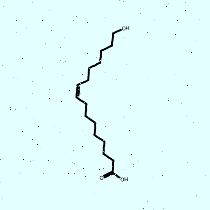 O=C(O)CCCCCCC/C=C\CCCCCCO